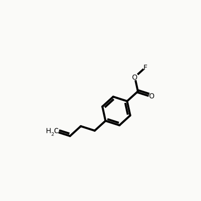 C=CCCc1ccc(C(=O)OF)cc1